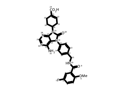 COc1ccc(F)cc1C(=O)NCc1ccc(-n2c(=O)n(C3CC=C(C(=O)O)CC3)c3ncnc(N)c32)cc1